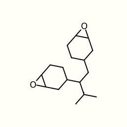 C[C](C)C(CC1CCC2OC2C1)C1CCC2OC2C1